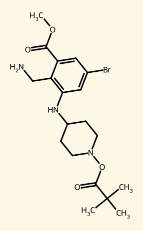 COC(=O)c1cc(Br)cc(NC2CCN(OC(=O)C(C)(C)C)CC2)c1CN